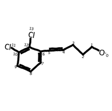 [O]CCCC=Cc1cccc(Cl)c1Cl